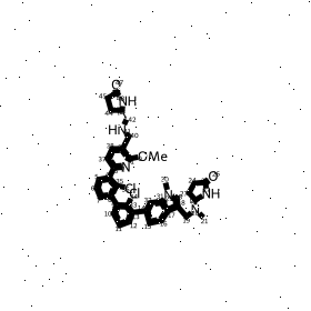 COc1nc(-c2cccc(-c3cccc(-c4ccc5c(CN(C)[C@H]6CCC(=O)N6)cn(C)c5c4)c3Cl)c2Cl)ccc1CNC[C@@H]1CCC(=O)N1